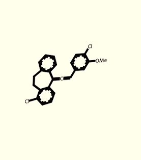 COc1cc(C=C=C2c3ccccc3CCc3c(Cl)cccc32)ccc1Cl